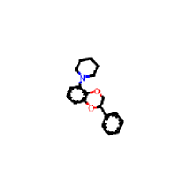 c1ccc(C2COc3c(cccc3N3CCCCC3)O2)cc1